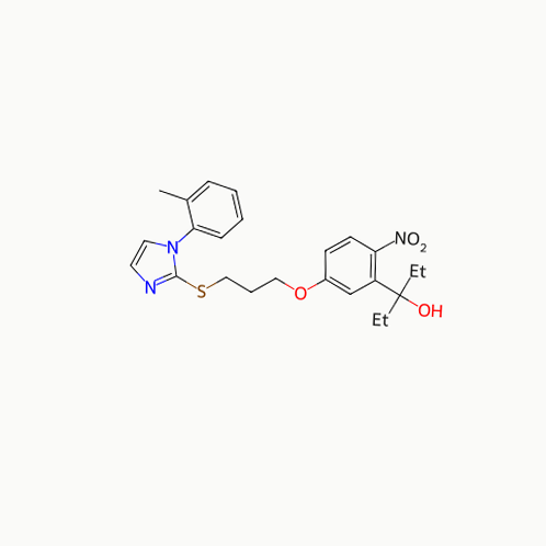 CCC(O)(CC)c1cc(OCCCSc2nccn2-c2ccccc2C)ccc1[N+](=O)[O-]